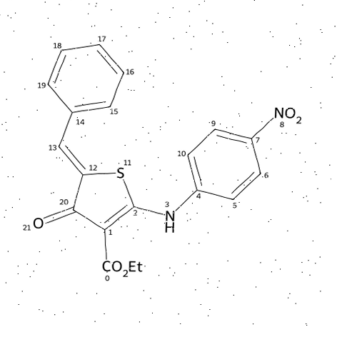 CCOC(=O)C1=C(Nc2ccc([N+](=O)[O-])cc2)S/C(=C\c2ccccc2)C1=O